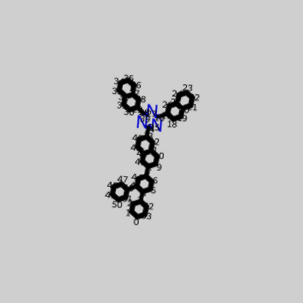 c1ccc(-c2ccc(-c3ccc4cc(-c5nc(-c6ccc7ccccc7c6)nc(-c6ccc7ccccc7c6)n5)ccc4c3)cc2-c2ccccc2)cc1